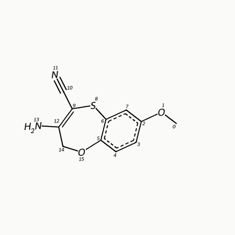 COc1ccc2c(c1)SC(C#N)=C(N)CO2